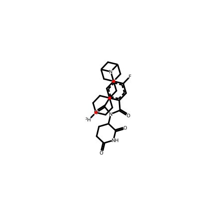 [2H]N1CCC(CN2CC3CC(C2)N3c2cc3c(cc2F)C(=O)N(C2CCC(=O)NC2=O)C3=O)CC1